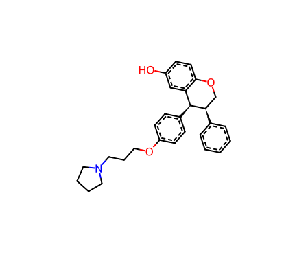 Oc1ccc2c(c1)[C@H](c1ccc(OCCCN3CCCC3)cc1)[C@H](c1ccccc1)CO2